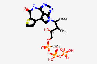 COC(C(C)[C@H](O)COP(=O)(OC)OP(=O)(O)OP(=O)(O)O)n1cc2c3c(ncnc31)NC(=O)c1sccc1-2